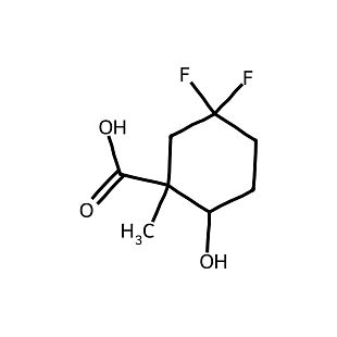 CC1(C(=O)O)CC(F)(F)CCC1O